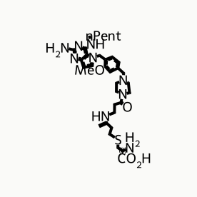 C=C(CCSC[C@H](N)C(=O)O)NCCC(=O)N1CCN(Cc2ccc(Cn3ccc4nc(N)nc(NCCCCC)c43)c(OC)c2)CC1